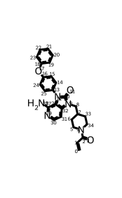 C=CC(=O)N1CCC(Cn2c(=O)n(-c3ccc(Oc4ccccc4)cc3)c3c(N)nccc32)CC1